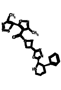 Cc1nnsc1-c1onc(C)c1C(=O)N1CC(c2nnc([C@@H]3NCCC[C@@H]3c3ccccc3)o2)C1